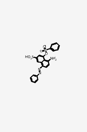 Nc1ccc(N=Nc2ccccc2)c2cc(S(=O)(=O)O)cc(OS(=O)(=O)c3ccccc3)c12